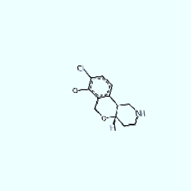 Clc1ccc2c(c1Cl)CO[C@H]1CCNCC21